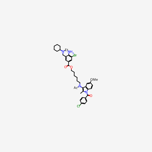 CCN(Cc1cc(C(=O)OCCCCCCN(C(C)=O)c2c(C)n(C(=O)c3ccc(Cl)cc3)c3ccc(OC)cc23)cc(Br)c1N)C1CCCCC1